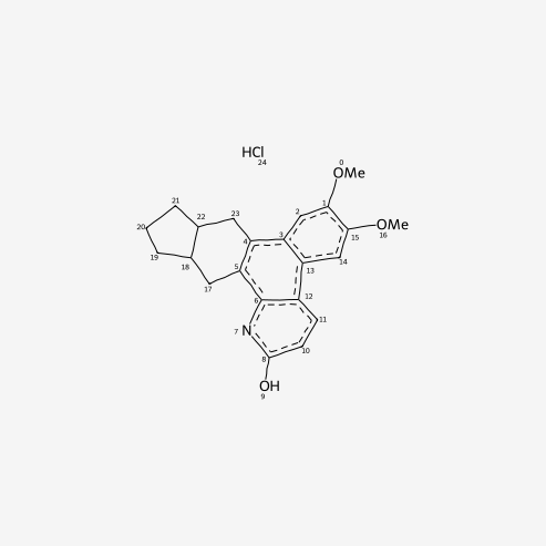 COc1cc2c3c(c4nc(O)ccc4c2cc1OC)CC1CCCC1C3.Cl